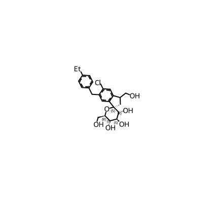 CCc1ccc(Cc2cc3c(cc2Cl)C(CO)C[C@]32O[C@H](CO)[C@@H](O)[C@H](O)[C@H]2O)cc1